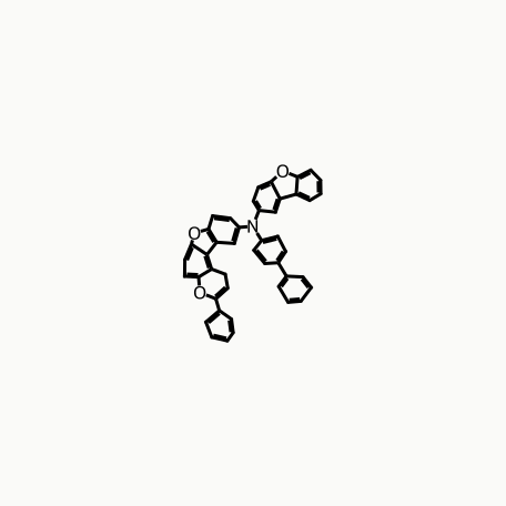 C1=C(c2ccccc2)Oc2ccc3oc4ccc(N(c5ccc(-c6ccccc6)cc5)c5ccc6oc7ccccc7c6c5)cc4c3c2C1